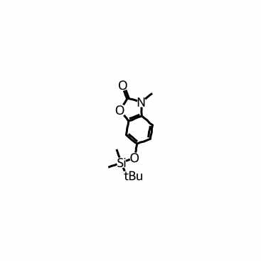 Cn1c(=O)oc2cc(O[Si](C)(C)C(C)(C)C)ccc21